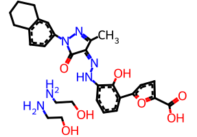 CC1=NN(c2ccc3c(c2)CCCC3)C(=O)C1=NNc1cccc(-c2ccc(C(=O)O)o2)c1O.NCCO.NCCO